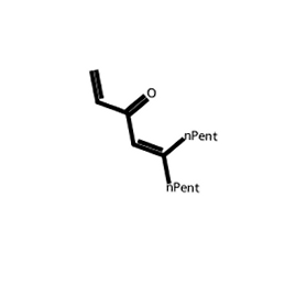 C=CC(=O)C=C(CCCCC)CCCCC